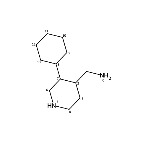 NCC1[CH]CNCC1C1CCCCC1